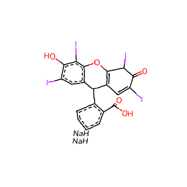 O=C(O)c1ccccc1C1C2=C(Oc3c1cc(I)c(O)c3I)C(I)C(=O)C(I)=C2.[NaH].[NaH]